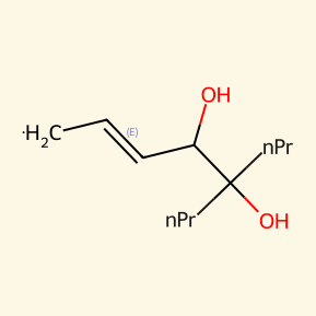 [CH2]/C=C/C(O)C(O)(CCC)CCC